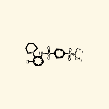 CN(C)S(=O)(=O)c1ccc(S(=O)(=O)Nc2cccc(Cl)c2N2CCCCC2)cc1